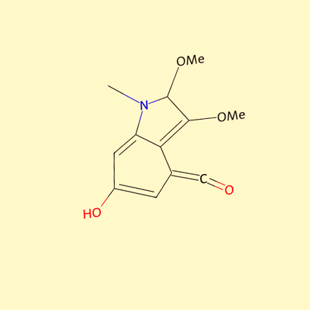 COC1=c2c(cc(O)cc2=C=O)N(C)C1OC